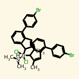 CC1=Cc2c(-c3ccc(Br)cc3)cccc2[CH]1[Zr]([Cl])([Cl])([CH]1C(C)=Cc2c(-c3ccc(Br)cc3)cccc21)[SiH](C)C